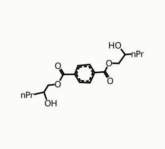 CCCC(O)COC(=O)c1ccc(C(=O)OCC(O)CCC)cc1